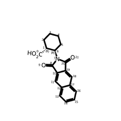 O=C(O)[C@@H]1CCCC[C@H]1N1C(=O)c2cc3ccccc3cc2C1=O